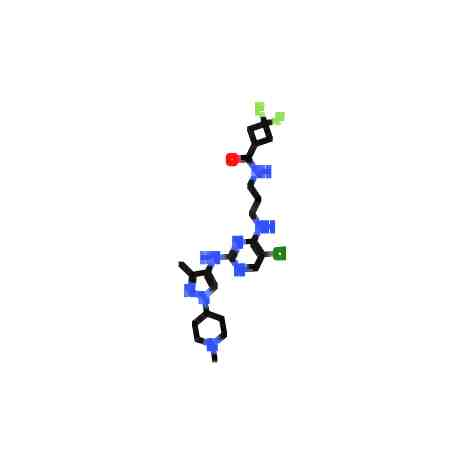 Cc1nn(C2CCN(C)CC2)cc1Nc1ncc(Cl)c(NCCCNC(=O)C2CC(F)(F)C2)n1